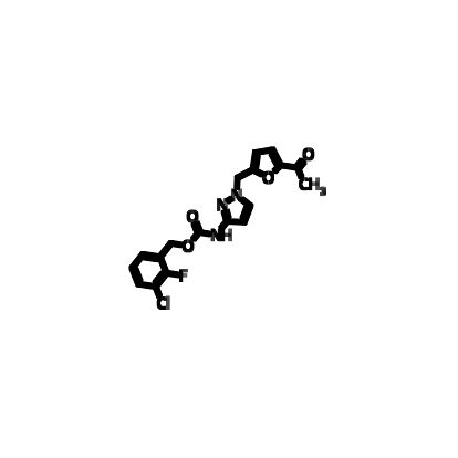 CC(=O)c1ccc(Cn2ccc(NC(=O)OCc3cccc(Cl)c3F)n2)o1